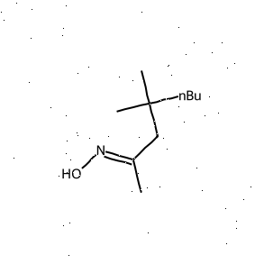 CCCCC(C)(C)CC(C)=NO